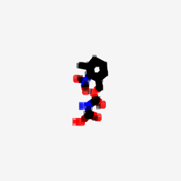 Cc1cccc(COC(=O)NC(=O)O)c1[N+](=O)[O-]